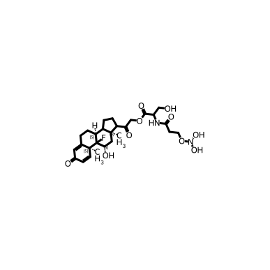 C[C@]12C[C@H](O)C3(F)[C@@H](CCC4=CC(=O)C=C[C@@]43C)C1CCC2C(=O)COC(=O)C(CO)NC(=O)CCON(O)O